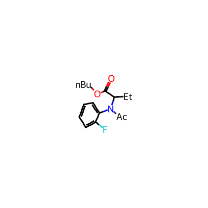 CCCCOC(=O)C(CC)N(C(C)=O)c1ccccc1F